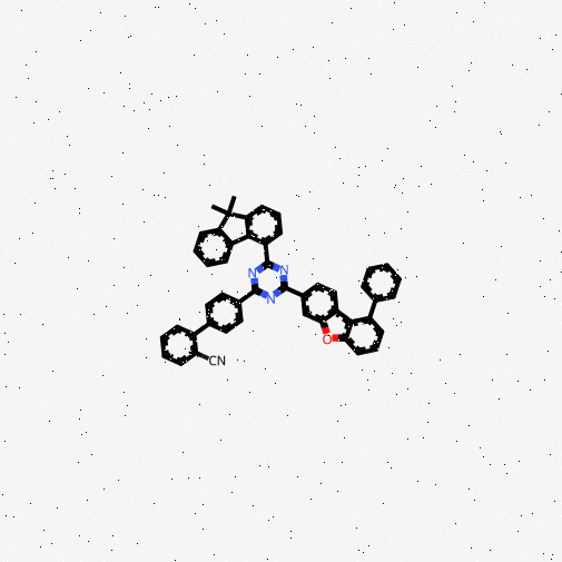 CC1(C)c2ccccc2-c2c(-c3nc(-c4ccc(-c5ccccc5C#N)cc4)nc(-c4ccc5c(c4)oc4cccc(-c6ccccc6)c45)n3)cccc21